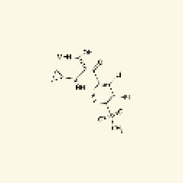 CCc1c(S(C)(=O)=O)ccc(C(=O)/C(C(=N)C2CC2)=C(\O)NC)c1Cl